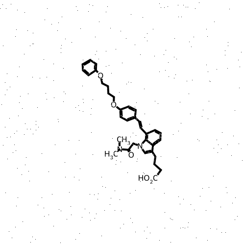 CN(C)C(=O)Cn1cc(CCCC(=O)O)c2cccc(/C=C/c3ccc(OCCCCOc4ccccc4)cc3)c21